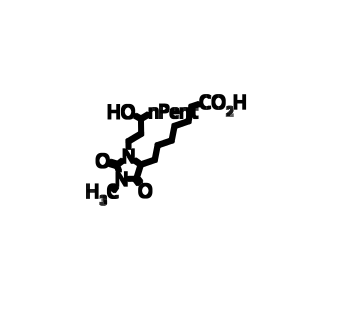 CCCCCC(O)CCN1C(=O)N(C)C(=O)C1CCCCCCC(=O)O